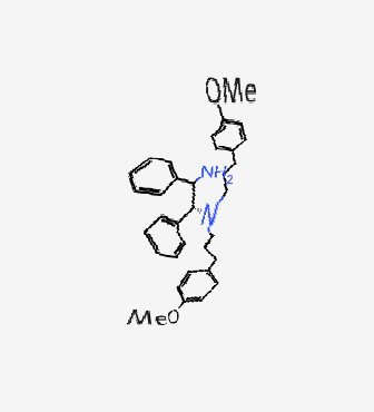 COc1ccc(CCCN(CCCc2ccc(OC)cc2)[C@H](c2ccccc2)[C@H](N)c2ccccc2)cc1